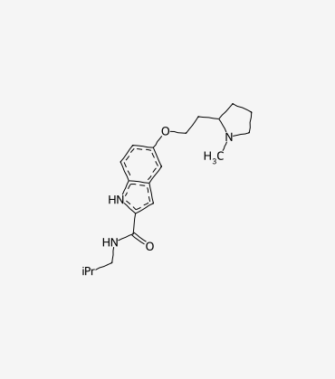 CC(C)CNC(=O)c1cc2cc(OCCC3CCCN3C)ccc2[nH]1